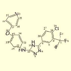 FC(F)(F)c1cc(-c2nnc(Nc3ccc(Oc4ccncc4)cc3)[nH]2)ccc1Cl